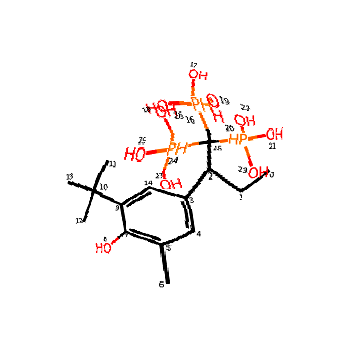 CCC(c1cc(C)c(O)c(C(C)(C)C)c1)C([PH](O)(O)O)([PH](O)(O)O)[PH](O)(O)O